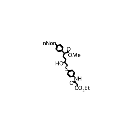 CCCCCCCCCc1ccc(C(CCC(O)CSc2ccc(NC(=O)CC(=O)OCC)cc2)C(=O)OC)cc1